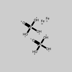 O=P(O)(O)O.O=P(O)(O)O.[Fe].[Fe]